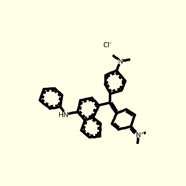 CN(C)c1ccc(C(=C2C=CC(=[N+](C)C)C=C2)c2ccc(Nc3ccccc3)c3ccccc23)cc1.[Cl-]